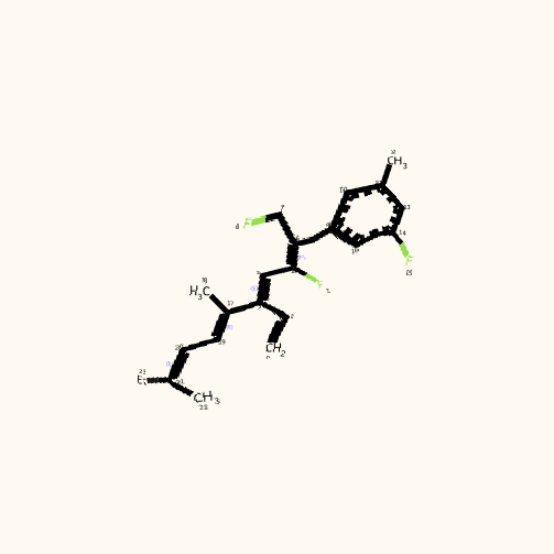 C=CC(=C\C(F)=C(/CF)c1cc(C)cc(F)c1)/C(C)=C/C=C(\C)CC